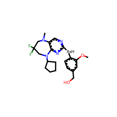 COc1cc(CO)ccc1[AsH]c1ncc2c(n1)N(C1CCCC1)CC(F)(F)CN2C